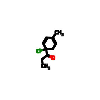 CCC(=O)C1(Cl)C=CC(C)=CC1